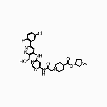 CN1CC[C@@H](OC(=O)C2CCN(CC(=O)Nc3cc(Nc4cc(-c5cc(Cl)ccc5F)nnc4CO)ncn3)CC2)C1